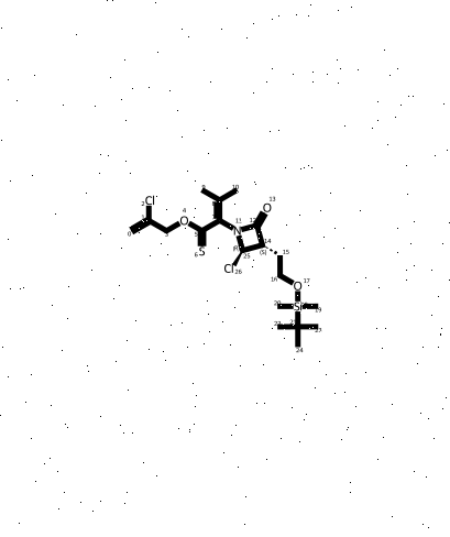 C=C(Cl)COC(=S)C(=C(C)C)N1C(=O)[C@H](CCO[Si](C)(C)C(C)(C)C)[C@H]1Cl